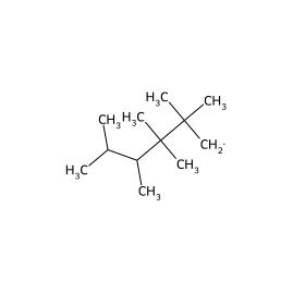 [CH2]C(C)(C)C(C)(C)C(C)C(C)C